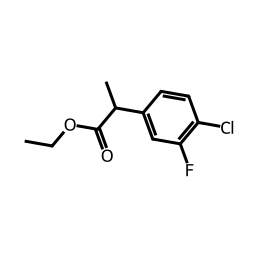 CCOC(=O)C(C)c1ccc(Cl)c(F)c1